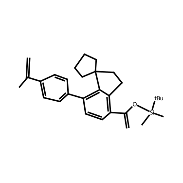 C=C(C)c1ccc(-c2ccc(C(=C)O[Si](C)(C)C(C)(C)C)c3c2C2(CCCC2)CC3)cc1